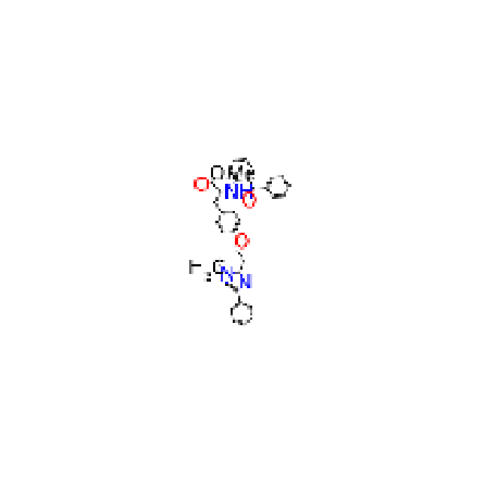 COC(=O)[C@H](Cc1ccc(OCCc2nc(-c3ccccc3)cn2C)cc1)Nc1ccccc1C(=O)c1ccccc1